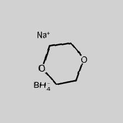 C1COCCO1.[BH4-].[Na+]